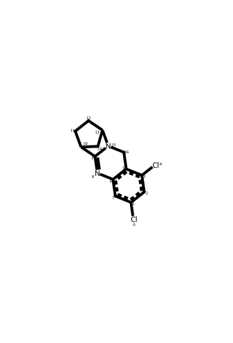 Clc1cc(Cl)c2c(c1)N=C1C3CCC(C3)N1C2